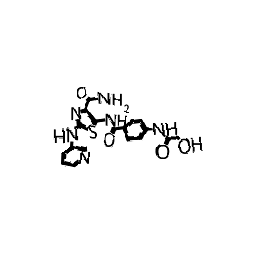 NC(=O)c1nc(Nc2cccnc2)sc1NC(=O)c1ccc(NC(=O)CO)cc1